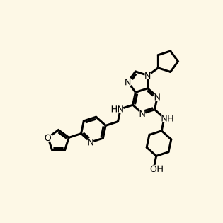 OC1CCC(Nc2nc(NCc3ccc(-c4ccoc4)nc3)c3ncn(C4CCCC4)c3n2)CC1